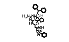 N=C(N)NC(CCCB(O)OS(=O)(=O)c1ccccc1)NC(=O)C1(C(=O)NCC(c2ccccc2)c2ccccc2)CCCC1